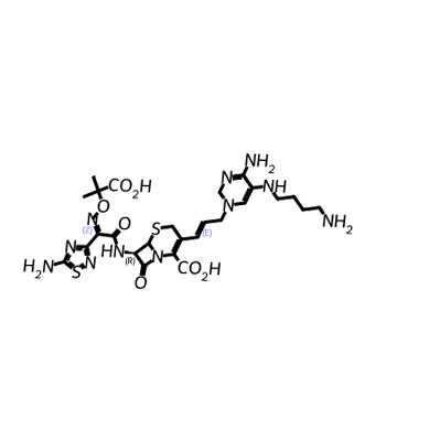 CC(C)(O/N=C(\C(=O)N[C@@H]1C(=O)N2C(C(=O)O)=C(/C=C/CN3C=C(NCCCCN)C(N)=NC3)CSC12)c1nsc(N)n1)C(=O)O